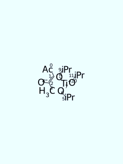 CC(=O)/C=C(/C)[O-].CC(C)[O][Ti+]([O]C(C)C)[O]C(C)C